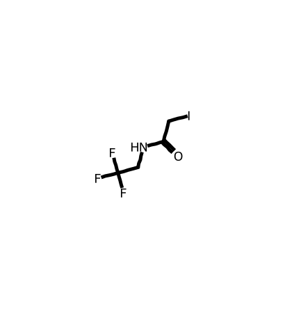 O=C(CI)NCC(F)(F)F